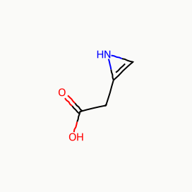 O=C(O)CC1=CN1